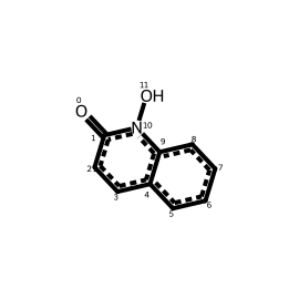 O=c1[c]cc2ccccc2n1O